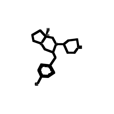 Clc1ccc(CC2CN3CCC[C@H]3CN2C2CCNCC2)cc1